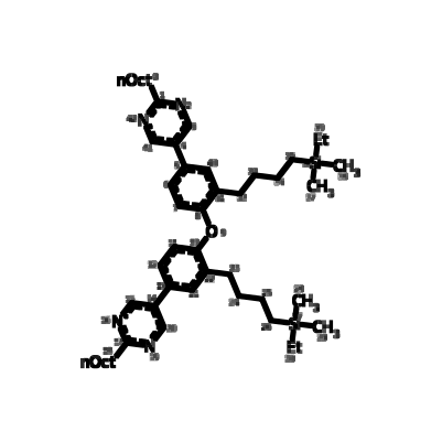 CCCCCCCCc1ncc(-c2ccc(Oc3ccc(-c4cnc(CCCCCCCC)nc4)cc3CCCC[Si](C)(C)CC)c(CCCC[Si](C)(C)CC)c2)cn1